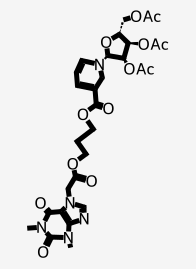 CC(=O)OC[C@H]1O[C@@H](N2C=CC=C(C(=O)OCCCOC(=O)Cn3cnc4c3c(=O)n(C)c(=O)n4C)C2)[C@H](OC(C)=O)[C@@H]1OC(C)=O